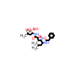 CC(C)CC(NC(=O)C1CC(C(CC(C)C)NC(=O)Cc2ccccc2)=NO1)B(O)O